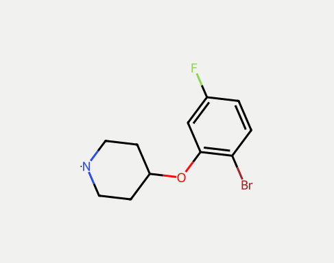 Fc1ccc(Br)c(OC2CC[N]CC2)c1